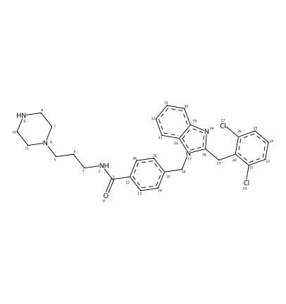 O=C(NCCCN1CCNCC1)c1ccc(Cn2c(Cc3c(Cl)cccc3Cl)nc3ccccc32)cc1